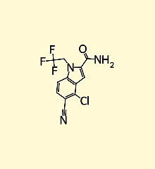 N#Cc1ccc2c(cc(C(N)=O)n2CC(F)(F)F)c1Cl